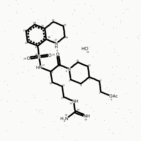 CC(=O)OCCC1CCN(C(=O)C(CCCNC(=N)N)NS(=O)(=O)c2cccc3c2NCCC3)CC1.Cl